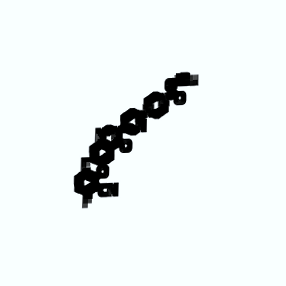 CC(C)(C)OC(=O)N1CCN(c2ccc(-n3cnc4ccc(Oc5c(F)ccc(F)c5C#N)cc4c3=O)cn2)CC1